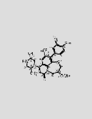 CO[C@@H]1CSc2c(-c3ccc(F)c(Cl)c3)c(C(F)(F)F)cc3c(N4C[C@@H](C)NC[C@@H]4C)nc(=O)n(c23)C1